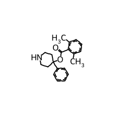 Cc1cccc(C)c1C(=O)OC1(c2ccccc2)CCNCC1